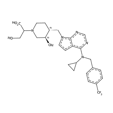 O=C(O)C(CO)N1CC[C@H](Cn2ccc3c(N(Cc4ccc(C(F)(F)F)cc4)C4CC4)ncnc32)[C@@H](O)C1